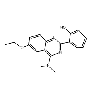 CCOc1ccc2nc(-c3ccccc3O)nc(N(C)C)c2c1